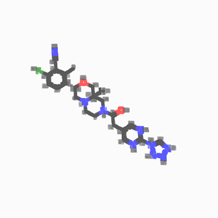 Cc1c([C@H]2CN3CCN(C(=O)Cc4cnc(-n5cnnn5)nc4)C[C@H]3CO2)ccc(F)c1C#N